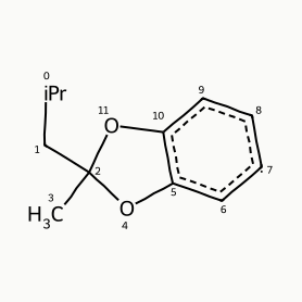 CC(C)CC1(C)Oc2c[c]ccc2O1